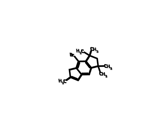 CC1=Cc2cc3c(c(Br)c2C1)C(C)(C)CC3(C)C